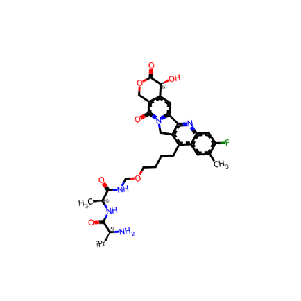 Cc1cc2c(CCCCOCNC(=O)[C@H](C)NC(=O)[C@@H](N)C(C)C)c3c(nc2cc1F)-c1cc2c(c(=O)n1C3)COC(=O)[C@H]2O